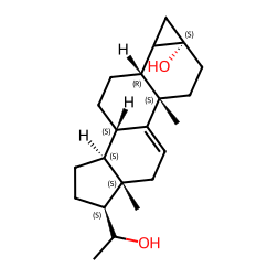 CC(O)[C@H]1CC[C@H]2[C@@H]3CC[C@@H]4C5C[C@@]5(O)CC[C@]4(C)C3=CC[C@]12C